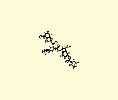 CC(=O)c1cn(CC(=O)N2C[SiH](C)C[C@H]2C(=O)NCc2cccc(Cl)c2F)c2ccc(OC(=O)N3CCOCC3)cc12